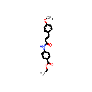 CCOC(=O)c1ccc(NC(=O)C=Cc2ccc(OC)cc2)cc1